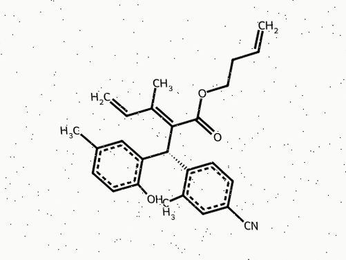 C=CCCOC(=O)/C(=C(\C)C=C)[C@H](c1ccc(C#N)cc1C)c1cc(C)ccc1O